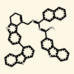 N/C(=N\C(=N/CC1=CCCc2oc3ccc(-c4cccc5sc6ccccc6c45)cc3c21)c1ccc2ccccc2c1)c1ccc2sc3ccccc3c2c1